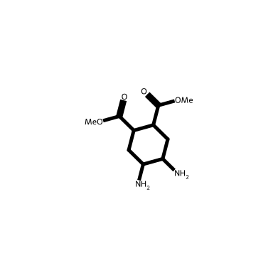 COC(=O)C1CC(N)C(N)CC1C(=O)OC